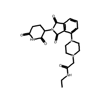 CCNC(=O)CN1CCN(c2cccc3c2C(=O)N(C2CCC(=O)NC2=O)C3=O)CC1